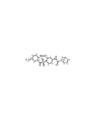 COc1cc(NC(=O)C2CC3C=CC2C3)ccc1S(=O)(=O)Nc1cccc(C(F)(F)F)c1